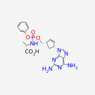 C[C@H](NP(=O)(OC[C@@H]1C=C[C@H](n2cnc3c(N)nc(N)nc32)C1)Oc1ccccc1)C(=O)O